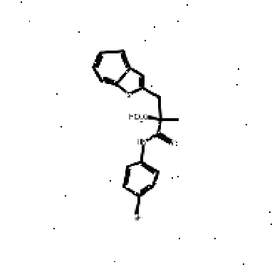 CC(C)c1ccc(NC(=O)C(C)(Cc2cc3ccccc3s2)C(=O)O)cc1